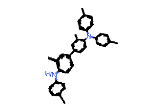 Cc1ccc(Nc2ccc(-c3ccc(N(c4ccc(C)cc4)c4ccc(C)cc4)c(C)c3)cc2C)cc1